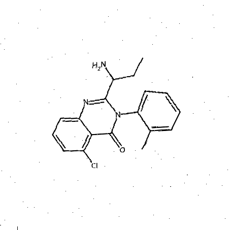 CCC(N)c1nc2cccc(Cl)c2c(=O)n1-c1ccccc1C